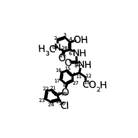 Cn1ccc(O)c(NC(=O)NC(CC(=O)O)c2cccc(Oc3ccccc3Cl)c2)c1=O